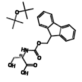 CC(C)(C)OC(C)(C)C.O=C(N[C@@H](CO)C(=O)O)OCC1c2ccccc2-c2ccccc21